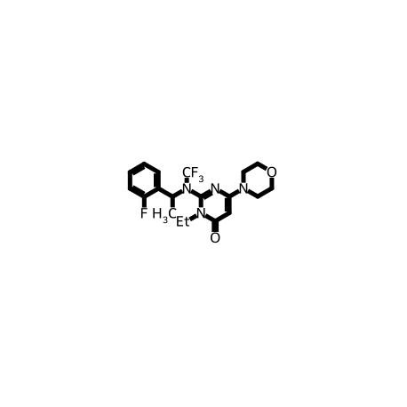 CCn1c(N(C(C)c2ccccc2F)C(F)(F)F)nc(N2CCOCC2)cc1=O